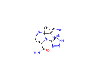 CC1(c2c[nH]nn2)N=CC=C(C(N)=O)N1c1c[nH]nn1